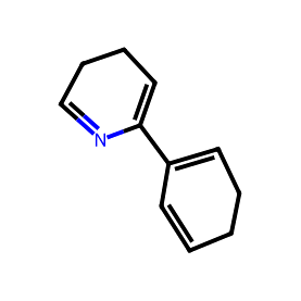 C1=CC(C2=CCCC=N2)=CCC1